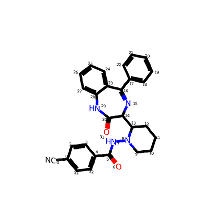 N#Cc1ccc(C(=O)NN2CCCCC2C2N=C(c3ccccc3)c3ccccc3NC2=O)cc1